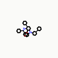 c1ccc(C(=Nc2c(-c3ccccc3)ccc3c2c2ccccc2n3-c2cccc(-c3ccccc3)c2)c2ccccc2)cc1